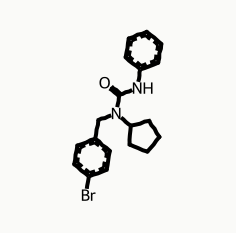 O=C(Nc1ccccc1)N(Cc1ccc(Br)cc1)C1CCCC1